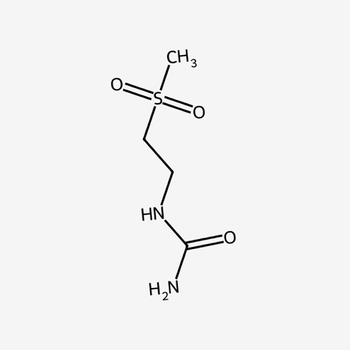 CS(=O)(=O)CCNC(N)=O